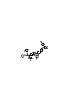 [2H]C1(N2CCc3c(nc(C(F)(F)F)nc3NS(=O)(=O)c3ccc(N[C@H](CCN4CCN(C)CC4)CSc4ccccc4F)c(S(=O)(=O)C(F)(F)F)c3)C2)CCN(CC2=C(c3ccc(Cl)cc3)CC(C)(C)CC2)CC1